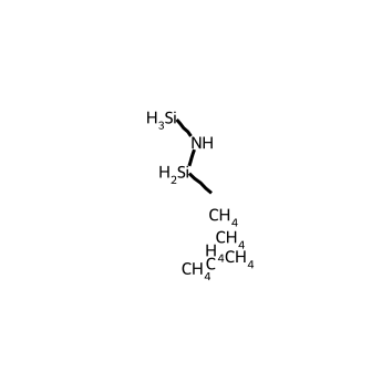 C.C.C.C.C.C[SiH2]N[SiH3]